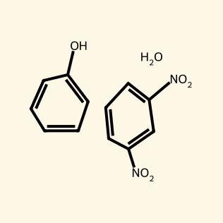 O.O=[N+]([O-])c1cccc([N+](=O)[O-])c1.Oc1ccccc1